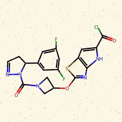 O=C(Cl)c1cc2sc(OC3CN(C(=O)N4N=CCC4c4cc(F)cc(F)c4)C3)nc2[nH]1